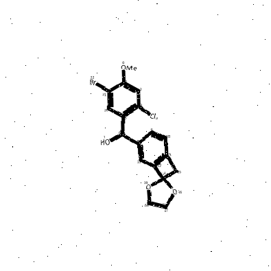 COc1cc(Cl)c(C(O)c2ccc3c(c2)C2(C3)OCCO2)cc1Br